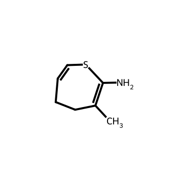 CC1=C(N)SC=CCC1